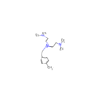 [CH2]c1ccc(CN(CCN(CC)CC)CCN(CC)CC)cc1